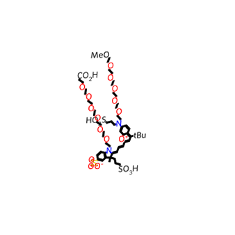 COCCOCCOCCOCCOCCOCCN(CCCS(=O)(=O)O)c1ccc2c(C(C)(C)C)cc(C=CC=C3N(CCOCCOCCOCCOCCOCCOCCC(=O)O)c4ccc(S(=O)(=O)[O-])cc4C3(C)CCCS(=O)(=O)O)[o+]c2c1